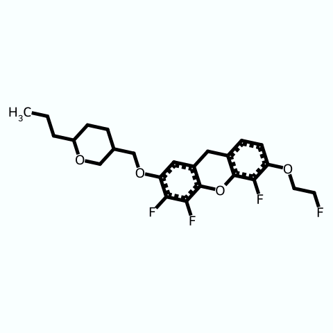 CCCC1CCC(COc2cc3c(c(F)c2F)Oc2c(ccc(OCCF)c2F)C3)CO1